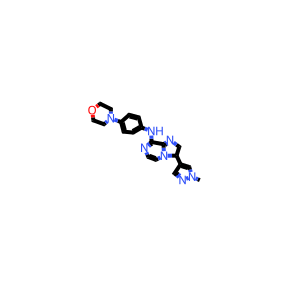 Cn1cc(C2CN=C3C(Nc4ccc(N5CCOCC5)cc4)=NC=CN32)cn1